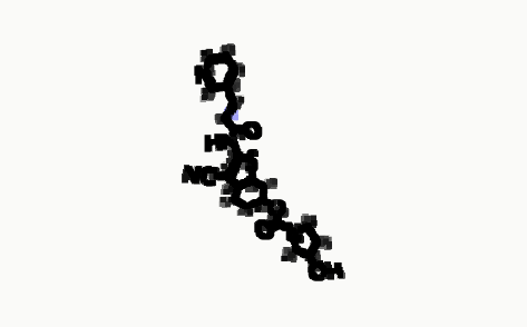 N#Cc1c(NC(=O)/C=C/c2cccnc2)sc2c1CCC(OC(=O)N1CCC(O)C1)C2